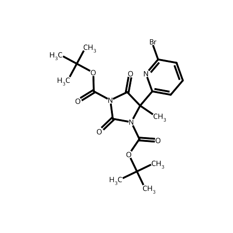 CC(C)(C)OC(=O)N1C(=O)N(C(=O)OC(C)(C)C)C(C)(c2cccc(Br)n2)C1=O